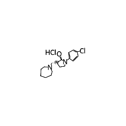 Cl.O=C1[C@@H](CN2CCCCCC2)CCN1c1ccc(Cl)cc1